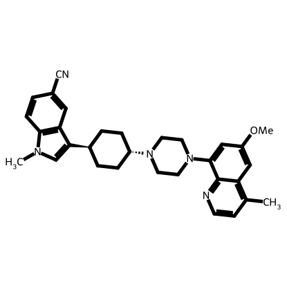 COc1cc(N2CCN([C@H]3CC[C@H](c4cn(C)c5ccc(C#N)cc54)CC3)CC2)c2nccc(C)c2c1